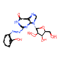 O=c1[nH]c(/N=N/c2ccccc2O)nc2c1ncn2[C@@H]1OC(CO)[C@@H](O)[C@H]1O